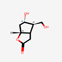 O=C1CC2[C@@H](C[C@H](O)[C@H]2CO)O1